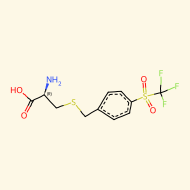 N[C@@H](CSCc1ccc(S(=O)(=O)C(F)(F)F)cc1)C(=O)O